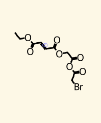 CCOC(=O)/C=C/C(=O)OCC(=O)OC(=O)CBr